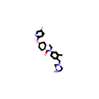 CCN(c1ccc(CN2CCNCC2)c(C)c1)C(=O)[C@H]1CC[C@H](Oc2ccc(F)cn2)CC1